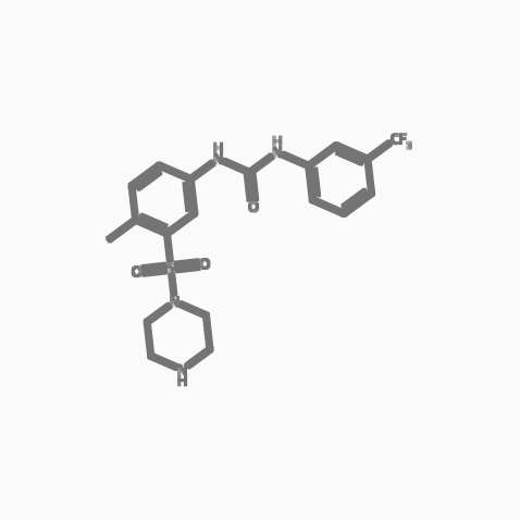 Cc1ccc(NC(=O)Nc2cccc(C(F)(F)F)c2)cc1S(=O)(=O)N1CCNCC1